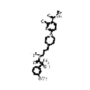 COc1cccc(C(O)(C(=O)N(C)CCCC2CCN(c3ccc(C(=O)NC(C)C)c(Cl)n3)CC2)C(F)(F)F)c1